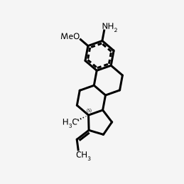 CC=C1CCC2C3CCc4cc(N)c(OC)cc4C3CC[C@]12C